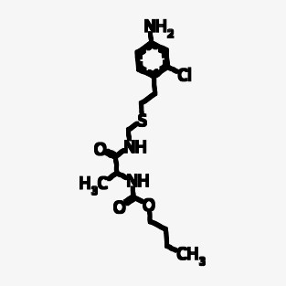 CCCCOC(=O)NC(C)C(=O)NCSCCc1ccc(N)cc1Cl